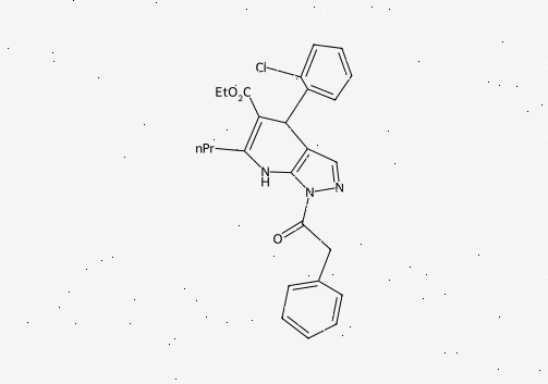 CCCC1=C(C(=O)OCC)C(c2ccccc2Cl)c2cnn(C(=O)Cc3ccccc3)c2N1